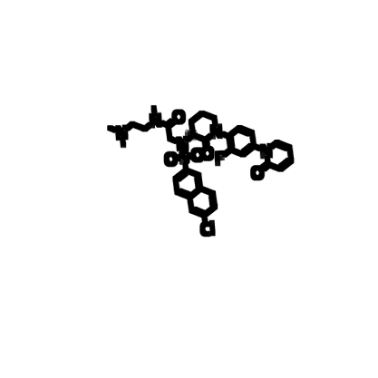 CN(C)CCN(C)C(=O)CN([C@H]1CCCN(c2ccc(-n3ccccc3=O)cc2F)C1=O)S(=O)(=O)c1ccc2cc(Cl)ccc2c1